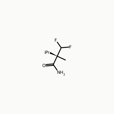 CC(C)[C@@](C)(C(N)=O)C(F)F